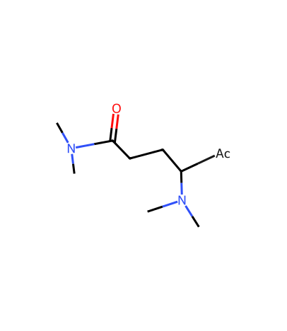 CC(=O)C(CCC(=O)N(C)C)N(C)C